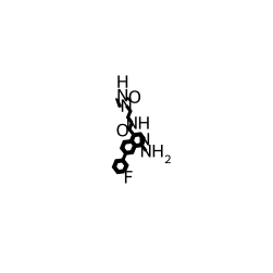 Nc1ncc(C(=O)NCCN2CCNC2=O)c2ccc(-c3cccc(F)c3)cc12